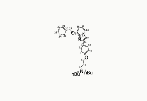 CCCCN(CCCC)CCCOc1ccc(-c2cn3cccc(OCc4ccccc4)c3n2)cc1